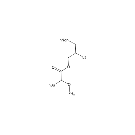 CCCCCCCCCCC(CC)COC(=O)C(CCCC)OP